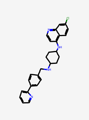 Clc1ccc2c(NC3CCC(NCc4ccc(-c5ccccn5)cc4)CC3)ccnc2c1